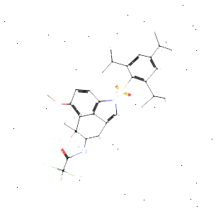 COc1ccc2c3c(cn2S(=O)(=O)c2c(C(C)C)cc(C(C)C)cc2C(C)C)CC(NC(=O)C(F)(F)F)C(C)(O)c13